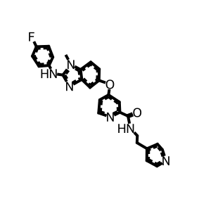 Cn1c(Nc2ccc(F)cc2)nc2cc(Oc3ccnc(C(=O)NCCc4ccncc4)c3)ccc21